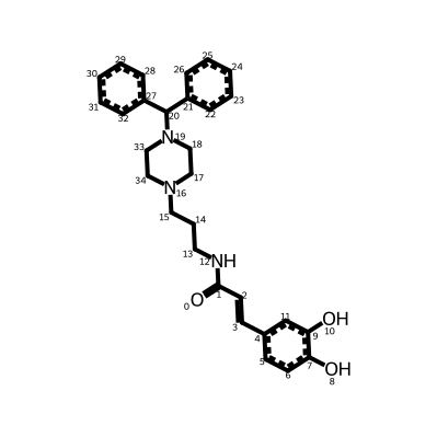 O=C(C=Cc1ccc(O)c(O)c1)NCCCN1CCN(C(c2ccccc2)c2ccccc2)CC1